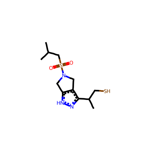 CC(C)CS(=O)(=O)N1Cc2[nH]nc(C(C)CS)c2C1